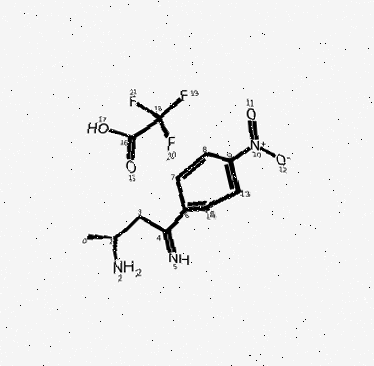 C[C@H](N)CC(=N)c1ccc([N+](=O)[O-])cc1.O=C(O)C(F)(F)F